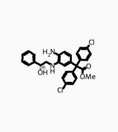 COC(=O)C(c1ccc(Cl)cc1)(c1ccc(Cl)cc1)c1ccc(N)c(NC[C@H](O)c2ccccc2)c1